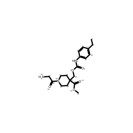 CCc1ccc(NC(=O)OCC2(C(=O)OC)CCN(C(=O)CN)CC2)cc1